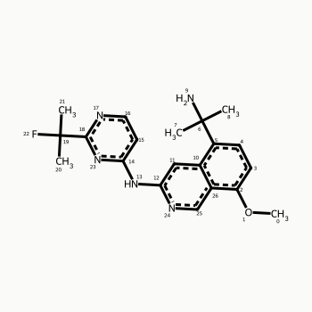 COc1ccc(C(C)(C)N)c2cc(Nc3ccnc(C(C)(C)F)n3)ncc12